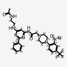 CC(=O)NCCNc1cc(NC(=O)CN2CCN(c3ccc(C(F)(F)F)cc3[N+](=O)[O-])CC2)nc(-c2ccccc2)n1